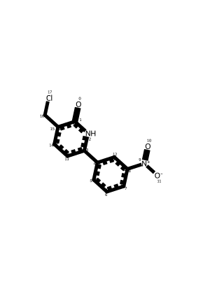 O=c1[nH]c(-c2cccc([N+](=O)[O-])c2)ccc1CCl